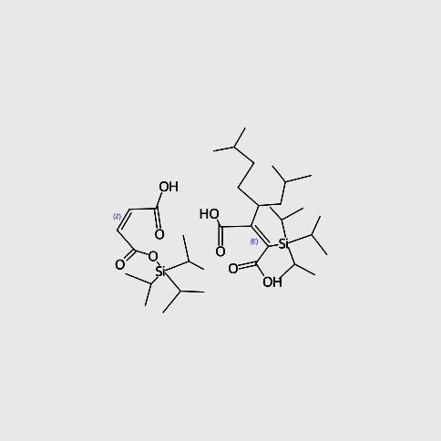 CC(C)CCC(CC(C)C)/C(C(=O)O)=C(/C(=O)O)[Si](C(C)C)(C(C)C)C(C)C.CC(C)[Si](OC(=O)/C=C\C(=O)O)(C(C)C)C(C)C